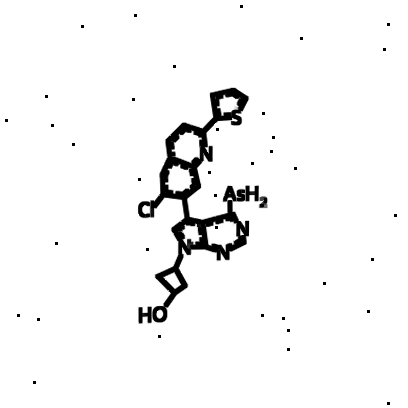 OC1CC(n2cc(-c3cc4nc(-c5cccs5)ccc4cc3Cl)c3c([AsH2])ncnc32)C1